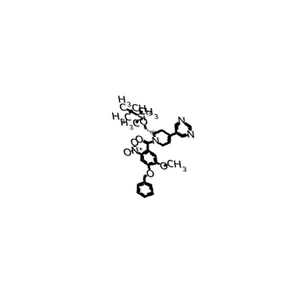 COc1cc(C(=O)N2CC=C(c3cncnc3)C[C@H]2CO[Si](C)(C)C(C)(C)C)c([N+](=O)[O-])cc1OCc1ccccc1